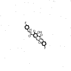 O=C(NCc1ccc(F)cc1)c1cn2c(c(O)c1=O)C(=O)N(Cc1ccc(F)cc1)C(O)C2